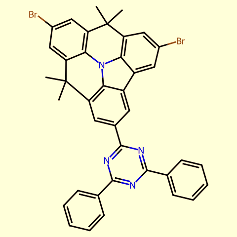 CC1(C)c2cc(Br)cc3c2-n2c4c1cc(Br)cc4c1cc(-c4nc(-c5ccccc5)nc(-c5ccccc5)n4)cc(c12)C3(C)C